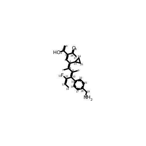 C=C(O)/C(=C/C(=C(C)/C(C)=C(\C(F)=C/C)c1ccc(CN)cc1)C1CC1)C(C)=O